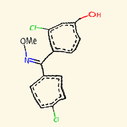 CON=C(c1ccc(Cl)cc1)c1ccc(O)cc1Cl